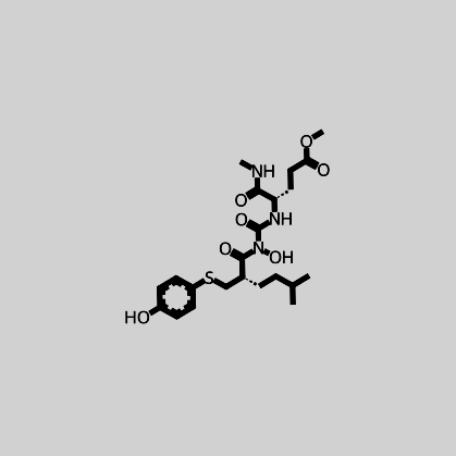 CNC(=O)[C@H](CCC(=O)OC)NC(=O)N(O)C(=O)[C@H](CCC(C)C)CSc1ccc(O)cc1